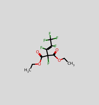 CCOC(=O)C(F)(C(=O)OCC)C(F)=C(F)C(F)(F)F